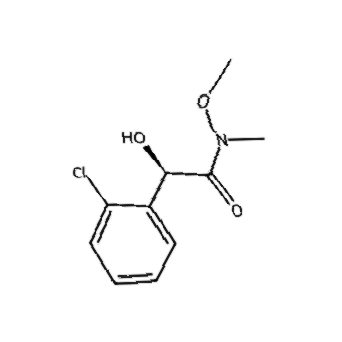 CON(C)C(=O)[C@H](O)c1ccccc1Cl